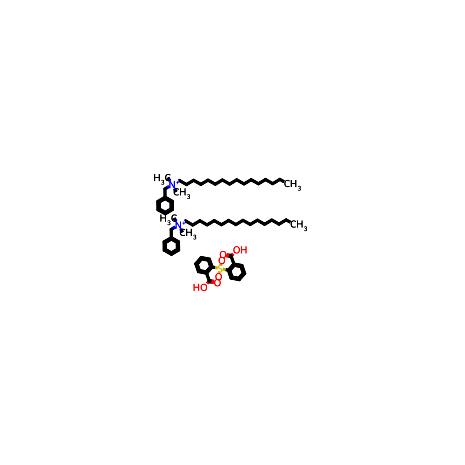 CCCCCCCCCCCCCCCC[N+](C)(C)Cc1ccccc1.CCCCCCCCCCCCCCCC[N+](C)(C)Cc1ccccc1.O=C(O)c1ccccc1S(=O)(=O)c1ccccc1C(=O)O